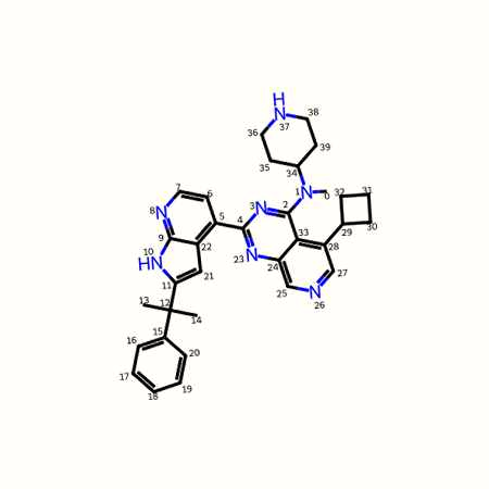 CN(c1nc(-c2ccnc3[nH]c(C(C)(C)c4ccccc4)cc23)nc2cncc(C3CCC3)c12)C1CCNCC1